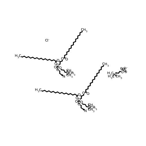 CCCCCCCCCCCCCCCCCC(=O)OCC(COP(=O)(OCCC#N)OCCC[N+](C)(C)C)OC(=O)CCCCCCCCCCCCCCCCC.CCCCCCCCCCCCCCCCCC(=O)OCC(COP(=O)(OCCC#N)OCCC[N+](C)(C)C)OC(=O)CCCCCCCCCCCCCCCCC.C[N+](C)(C)CCCOP(=O)([O-])[O-].[Cl-]